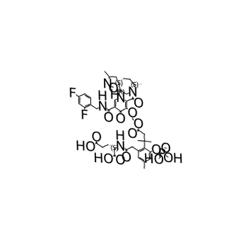 CC1=NO[C@@]2(CC[C@H](C)N3C[C@H]2n2cc(C(=O)NCc4ccc(F)cc4F)c(=O)c(OCOC(=O)CC(C)(C)c4c(CC(=O)N[C@@H](CCC(=O)O)C(=O)O)cc(C)cc4OP(=O)(O)O)c2C3=O)C1